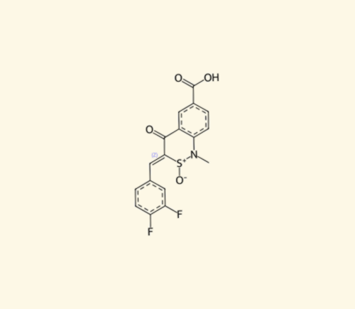 CN1c2ccc(C(=O)O)cc2C(=O)/C(=C/c2ccc(F)c(F)c2)[S+]1[O-]